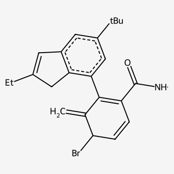 C=C1C(c2cc(C(C)(C)C)cc3c2CC(CC)=C3)=C(C([NH])=O)C=CC1Br